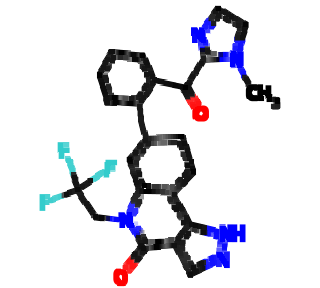 Cn1ccnc1C(=O)c1ccccc1-c1ccc2c3[nH]ncc3c(=O)n(CC(F)(F)F)c2c1